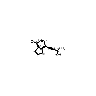 CC(O)C#Cc1nnc(Cl)c2c1CCC2